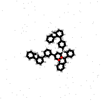 c1cc(-c2cccc(N(c3ccc(-c4cccc5sc6ccccc6c45)cc3)c3ccccc3-c3ccc4ccccc4c3)c2)cc(-c2cccc3c2sc2ccccc23)c1